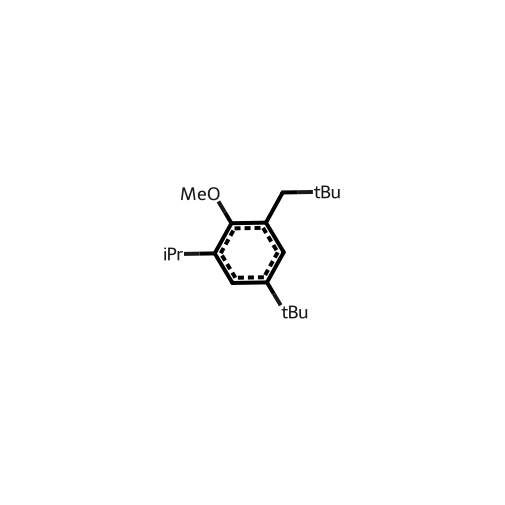 COc1c(CC(C)(C)C)cc(C(C)(C)C)cc1C(C)C